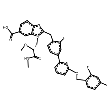 CNC(=O)[C@@H](Cn1c(Cc2ccc(-c3cccc(OCc4ccc(C)cc4F)n3)cc2F)nc2ccc(C(=O)O)cc21)OC